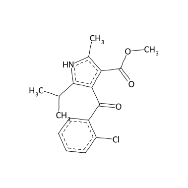 COC(=O)c1c(C)[nH]c(C(C)C)c1C(=O)c1ccccc1Cl